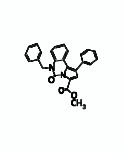 COC(=O)c1cc(-c2ccccc2)c2c3ccccc3n(Cc3ccccc3)c(=O)n12